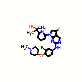 CN1CCC(Oc2ccc(Nc3ncc4c(F)cn(-c5cccc(C(C)(C)O)n5)c4n3)cc2F)CC1